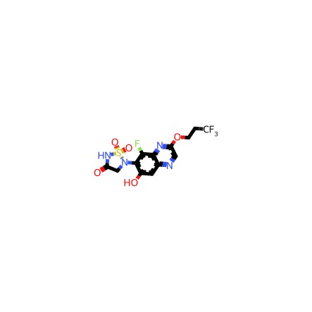 O=C1CN(c2c(O)cc3ncc(OCCC(F)(F)F)nc3c2F)S(=O)(=O)N1